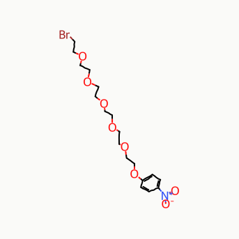 O=[N+]([O-])c1ccc(OCCOCCOCCOCCOCCOCCBr)cc1